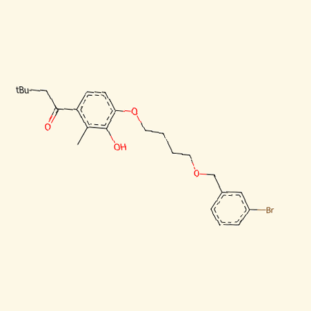 Cc1c(C(=O)CC(C)(C)C)ccc(OCCCCOCc2cccc(Br)c2)c1O